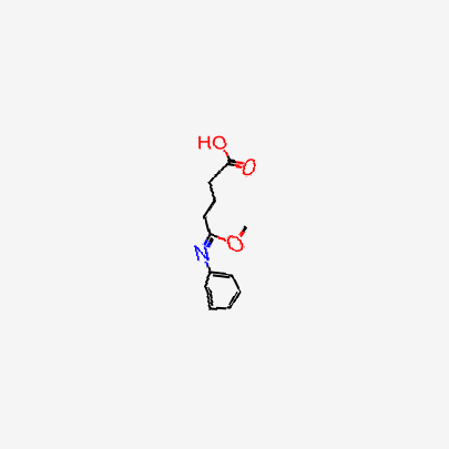 COC(CCCC(=O)O)=Nc1ccccc1